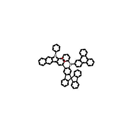 c1ccc(N(c2ccc3c4ccccc4c4ccccc4c3c2)c2cc3c(cc2-c2ccc4c(c2)c2cc5ccccc5cc2n4-c2ccccc2)-c2ccccc2C32c3ccccc3-c3ccccc32)cc1